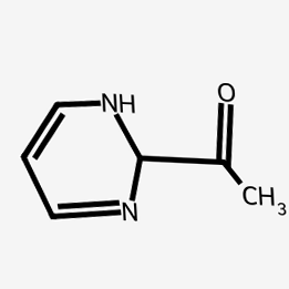 CC(=O)C1N=CC=CN1